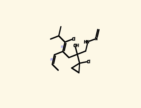 C=NNCC(O)(CC(/C=C\C)=C(\Cl)C(C)C)C1(Cl)CC1